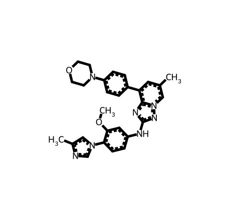 COc1cc(Nc2nc3c(-c4ccc(N5CCOCC5)cc4)cc(C)cn3n2)ccc1-n1cnc(C)c1